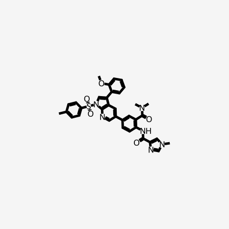 COc1ccccc1-c1cn(S(=O)(=O)c2ccc(C)cc2)c2ncc(-c3ccc(NC(=O)c4cn(C)cn4)c(C(=O)N(C)C)c3)cc12